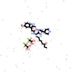 CCC(=O)CCCCC[C@H](NC(=O)Cc1c(C)[nH]c2ccc(OC)cc12)c1ncc(-c2ccncc2)[nH]1.O=C(O)C(F)(F)F.O=C(O)C(F)(F)F